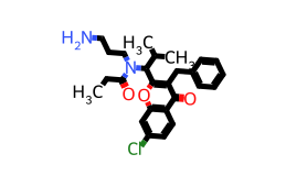 CCC(=O)N(CCCN)C(c1oc2cc(Cl)ccc2c(=O)c1Cc1ccccc1)C(C)C